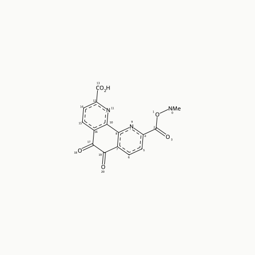 CNOC(=O)c1ccc2c(n1)-c1nc(C(=O)O)ccc1C(=O)C2=O